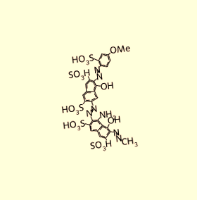 CN=Nc1c(S(=O)(=O)O)cc2cc(S(=O)(=O)O)c(N=Nc3cc4c(O)c(N=Nc5ccc(OC)cc5S(=O)(=O)O)c(S(=O)(=O)O)cc4cc3S(=O)(=O)O)c(N)c2c1O